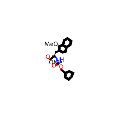 COC(=O)[C@@H](Cc1ccc2ccccc2c1OC)NC(=O)OCc1ccccc1